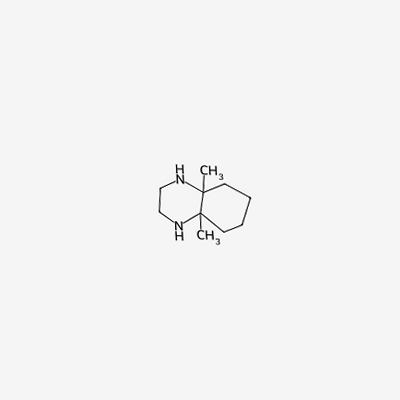 CC12CCCCC1(C)NCCN2